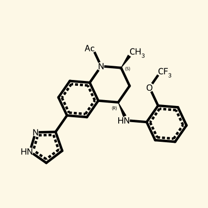 CC(=O)N1c2ccc(-c3cc[nH]n3)cc2[C@H](Nc2ccccc2OC(F)(F)F)C[C@@H]1C